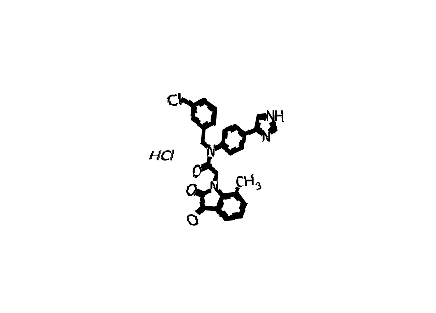 Cc1cccc2c1N(CC(=O)N(Cc1cccc(Cl)c1)c1ccc(-c3c[nH]cn3)cc1)C(=O)C2=O.Cl